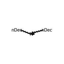 CCCCCCCCCCCCCCCCCCCN1C=CN(CCCCCCCCCCCCCCCCCC)C1